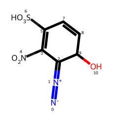 [N-]=[N+]=C1C([N+](=O)[O-])=C(S(=O)(=O)O)C=CC1O